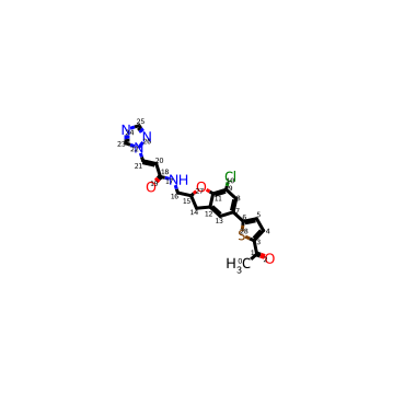 CC(=O)c1ccc(-c2cc(Cl)c3c(c2)CC(CNC(=O)C=Cn2cncn2)O3)s1